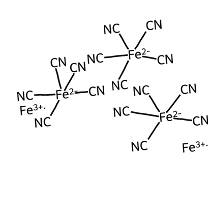 N#[C][Fe-2]([C]#N)([C]#N)([C]#N)[C]#N.N#[C][Fe-2]([C]#N)([C]#N)([C]#N)[C]#N.N#[C][Fe-2]([C]#N)([C]#N)([C]#N)[C]#N.[Fe+3].[Fe+3]